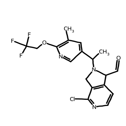 Cc1cc(C(C)N2Cc3c(ccnc3Cl)C2C=O)cnc1OCC(F)(F)F